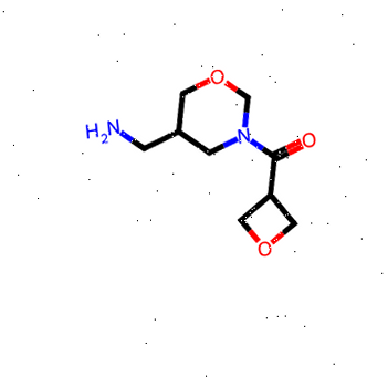 NCC1COCN(C(=O)C2COC2)C1